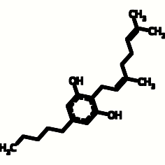 CCCCCc1cc(O)c(C/C=C(/C)CCC=C(C)C)c(O)c1